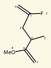 C=C(F)CC(C)C(=C)OC